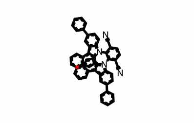 N#Cc1ccc(C#N)c(-n2c3ccc(-c4ccccc4)cc3c3c4ccccc4ccc32)c1-n1c2ccc(-c3ccccc3)cc2c2c3ccccc3ccc21